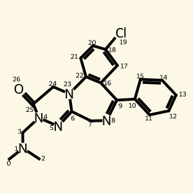 CN(C)CN1N=C2CN=C(c3ccccc3)c3cc(Cl)ccc3N2CC1=O